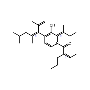 C=C(C)/C(C1=C(O)/C(=C(\C)CC)N(C(=O)/C(=C\C)CCC)C=C1)=C(/C)CC(C)C